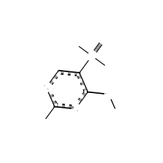 COc1nc(O)ncc1P(C)(C)=O